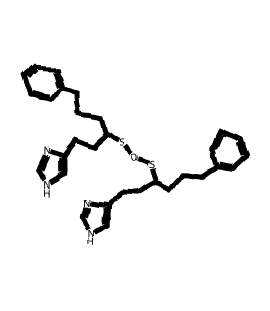 c1ccc(CCCC(CCc2c[nH]cn2)SOSC(CCCc2ccccc2)CCc2c[nH]cn2)cc1